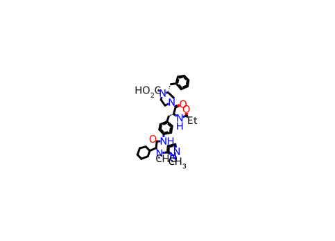 CCC(=O)N[C@H](Cc1ccc(NC(=O)[C@H](C2CCCCC2)N(C=O)c2ccnn2C)cc1)C(=O)N1CCN(C(=O)O)[C@H](Cc2ccccc2)C1